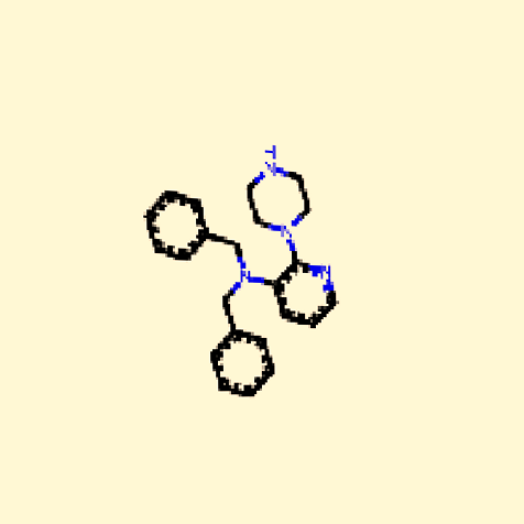 c1ccc(CN(Cc2ccccc2)c2cccnc2N2CCNCC2)cc1